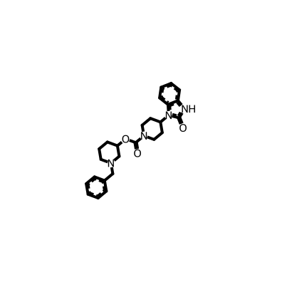 O=C(OC1CCCN(Cc2ccccc2)C1)N1CCC(n2c(=O)[nH]c3ccccc32)CC1